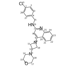 Clc1ccc(CNc2cc(N3CC(N4CCOCC4)C3)c3ccccc3n2)cc1